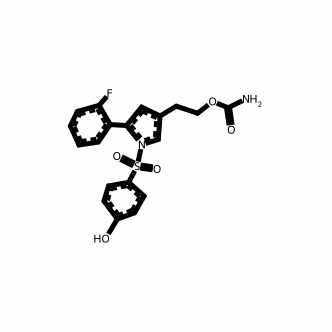 NC(=O)OCCc1cc(-c2ccccc2F)n(S(=O)(=O)c2ccc(O)cc2)c1